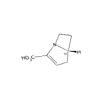 O=C(O)C1=CC[C@H]2CCN12